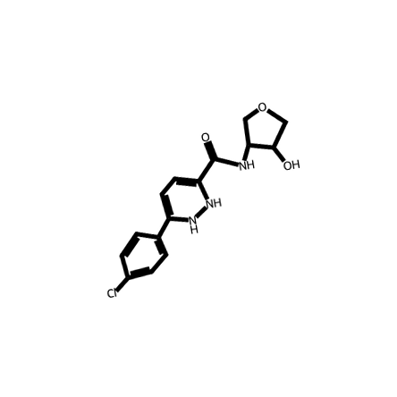 O=C(NC1COCC1O)C1=CC=C(c2ccc(Cl)cc2)NN1